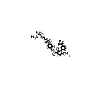 Cc1ccc(C(=O)NCc2ccc(S(=O)(=O)CC=CCCC(C)C)cc2)c(=O)n1-c1cccc(C(F)(F)F)c1